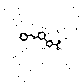 COC(=O)C1C=C(c2cccc(OCc3ccccc3)c2)CC1